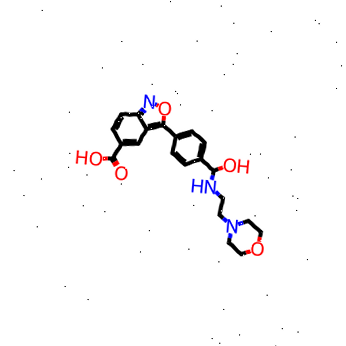 O=C(O)c1ccc2noc(-c3ccc(C(O)NCCN4CCOCC4)cc3)c2c1